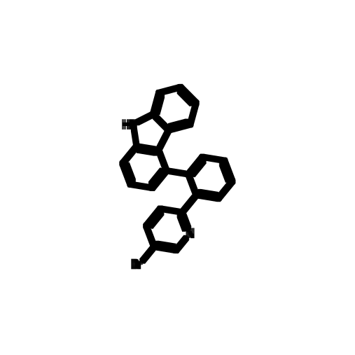 Brc1ccc(-c2ccccc2-c2cccc3c2-c2ccccc2B3)nc1